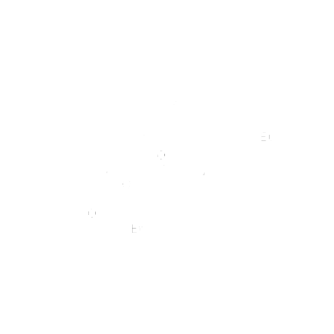 CCC(=O)Oc1cccc(C)c1COc1ccc(CC)cc1C